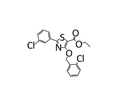 CCOC(=O)c1sc(-c2cccc(Cl)c2)nc1OCc1ccccc1Cl